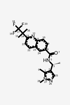 Cc1c([C@@H](C)NC(=O)c2ccc3nc(C(C)(C)C(F)(F)F)ccc3c2)cnn1C